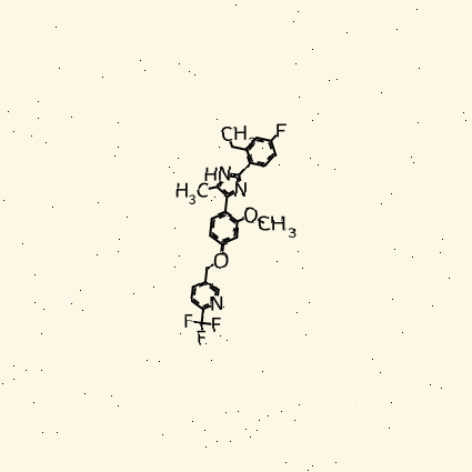 CCc1cc(F)ccc1-c1nc(-c2ccc(OCc3ccc(C(F)(F)F)nc3)cc2OC)c(C)[nH]1